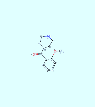 O=C(c1ccccc1OC(F)(F)F)C1CCNCC1